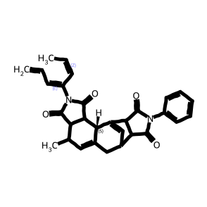 C=C/C=C(\C=C/C)N1C(=O)C2C(C)C=C3CC4C=C(C5C(=O)N(c6ccccc6)C(=O)C45)[C@H]3C2C1=O